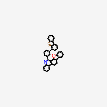 c1cc(-c2cccc3c2sc2ccccc23)cc(-c2nc3ccccc3c3ccc4c5ccccc5oc4c23)c1